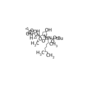 C=CC(C)CCC[C@@H](C)[C@H](NC(=O)OC(C)(C)C)C(=O)N1C[C@H](O)CC1C(=O)N[C@]1(C(=O)NS(=O)(=O)C2CC2)C[C@H]1C=C